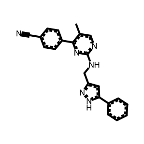 Cc1cnc(NCc2cc(-c3ccccc3)[nH]n2)nc1-c1ccc(C#N)cc1